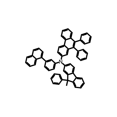 CC1(c2ccccc2)c2ccccc2-c2ccc(N(c3cccc(-c4cccc5ccccc45)c3)c3ccc4c(c3)c(-c3ccccc3)c(-c3ccccc3)c3ccccc34)cc21